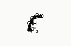 O=C(Nc1ccc(OC2CCN(C(=O)CC3CCOCC3)CC2)cc1)C1CN(c2cccnc2C(F)(F)F)C1